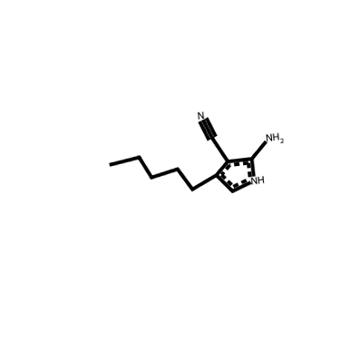 CCCCCc1c[nH]c(N)c1C#N